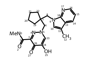 CNC(=O)c1nn(CC2(Cn3cc(C)c4cccnc43)CCCC2)cc(O)c1=O